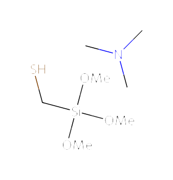 CN(C)C.CO[Si](CS)(OC)OC